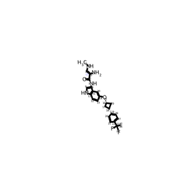 CN/C=C(\N)C(=O)Nc1c[nH]c2ccc(O[C@H]3C[C@@H](c4ccc(C(F)(F)F)cc4)C3)cc12